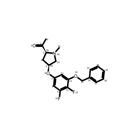 CC(=O)[C@@H]1C[C@H](Oc2cc(F)c(F)c(OCc3ccccc3)c2)CN1C